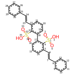 O=S(=O)(O)c1c(/C=C/c2ccccc2)cccc1-c1cccc(/C=C/c2ccccc2)c1S(=O)(=O)O